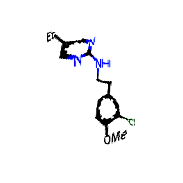 CCc1cnc(NCCc2ccc(OC)c(Cl)c2)nc1